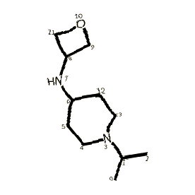 CC(C)N1CCC(NC2COC2)CC1